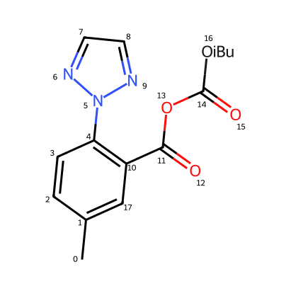 Cc1ccc(-n2nccn2)c(C(=O)OC(=O)OCC(C)C)c1